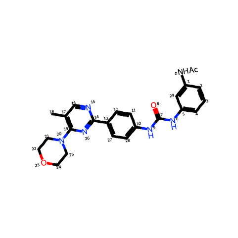 CC(=O)Nc1cccc(NC(=O)Nc2ccc(-c3ncc(C)c(N4CCOCC4)n3)cc2)c1